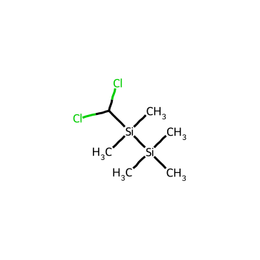 C[Si](C)(C)[Si](C)(C)C(Cl)Cl